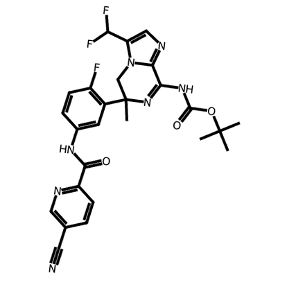 CC(C)(C)OC(=O)NC1=NC(C)(c2cc(NC(=O)c3ccc(C#N)cn3)ccc2F)Cn2c(C(F)F)cnc21